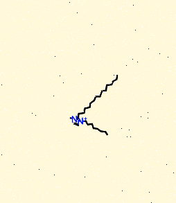 CCCCCCCCCCCCCCCc1n(C)cc[n+]1CCCCCCCC